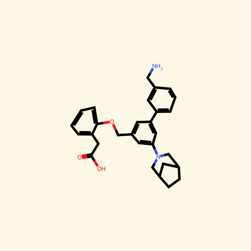 NCc1cccc(-c2cc(COc3ccccc3CC(=O)O)cc(N3CC4CCC(C4)C3)c2)c1